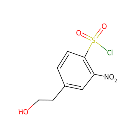 O=[N+]([O-])c1cc(CCO)ccc1S(=O)(=O)Cl